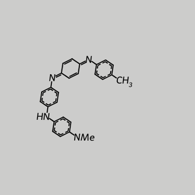 CNc1ccc(Nc2ccc(N=C3C=CC(=Nc4ccc(C)cc4)C=C3)cc2)cc1